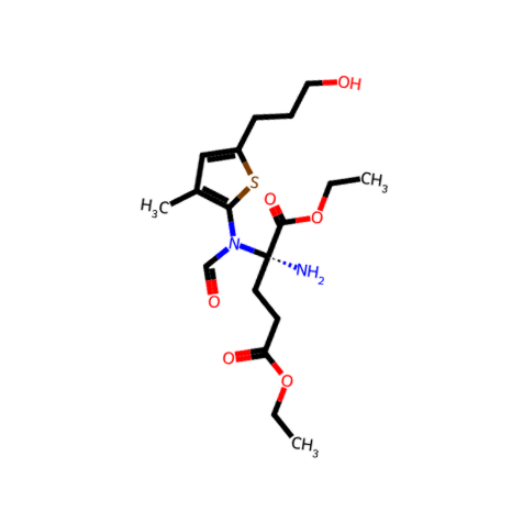 CCOC(=O)CC[C@](N)(C(=O)OCC)N(C=O)c1sc(CCCO)cc1C